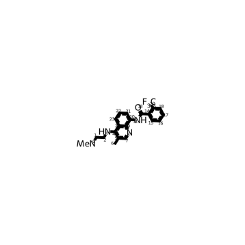 CNCCNc1c(C)cnc2c(NC(=O)c3ccccc3C(F)(F)F)cccc12